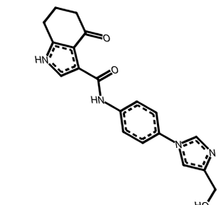 O=C(Nc1ccc(-n2cnc(CO)c2)cc1)c1c[nH]c2c1C(=O)CCC2